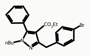 CCCCn1nc(Cc2ccc(Br)cc2)c(C(=O)OCC)c1-c1ccccc1